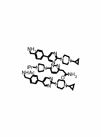 CC(=O)NCc1ccc(-c2cnc(N3CCN(C4CC4)CC3)nc2)cc1.CC(C)N1CCN(c2ccc(CC(N)=O)nn2)CC1.NCc1ccc(-c2cnc(N3CCN(C4CC4)CC3)nc2)cc1